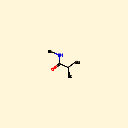 CCNC(=O)[C@H](CC)C(C)CC